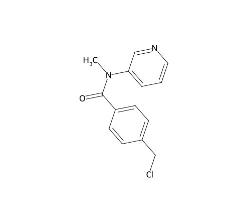 CN(C(=O)c1ccc(CCl)cc1)c1cccnc1